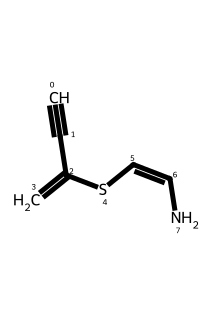 C#CC(=C)S/C=C\N